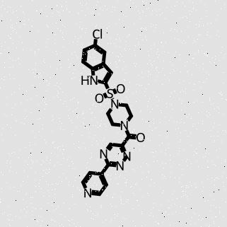 O=C(c1cnc(-c2ccncc2)nn1)N1CCN(S(=O)(=O)c2cc3cc(Cl)ccc3[nH]2)CC1